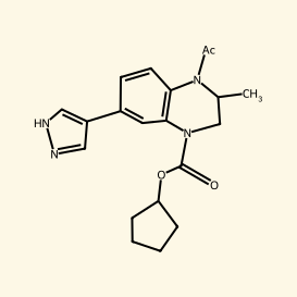 CC(=O)N1c2ccc(-c3cn[nH]c3)cc2N(C(=O)OC2CCCC2)CC1C